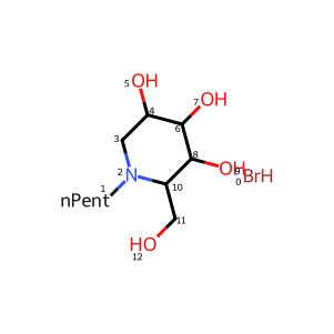 Br.CCCCCN1CC(O)C(O)C(O)C1CO